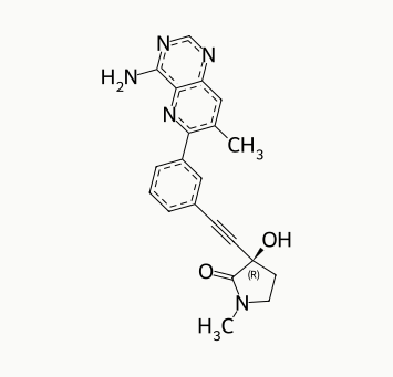 Cc1cc2ncnc(N)c2nc1-c1cccc(C#C[C@]2(O)CCN(C)C2=O)c1